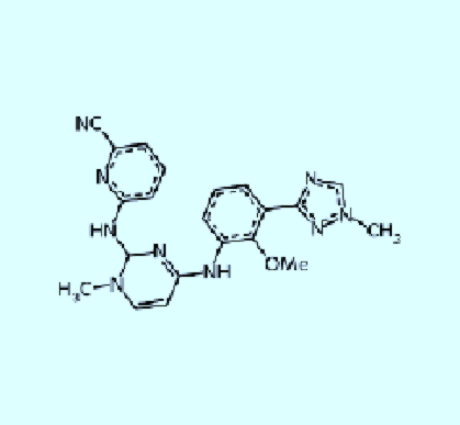 COc1c(NC2=NC(Nc3cccc(C#N)n3)N(C)C=C2)cccc1-c1ncn(C)n1